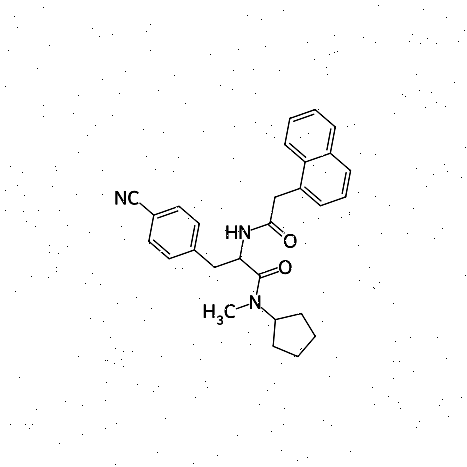 CN(C(=O)C(Cc1ccc(C#N)cc1)NC(=O)Cc1cccc2ccccc12)C1CCCC1